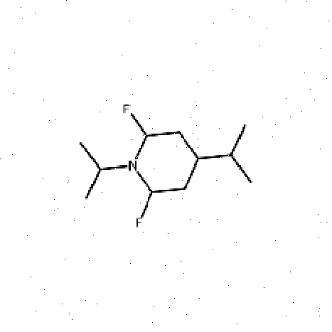 CC(C)C1CC(F)N(C(C)C)C(F)C1